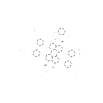 CC(C)c1cccc(C(C)C)c1N1C(=O)c2cc(Oc3ccc(SOOO)cc3)c3c4c(Oc5ccc(SOOO)cc5)cc5c6c(cc(Oc7ccc(S(=O)(=O)O)cc7)c(c7c(Oc8ccc(S(=O)(=O)O)cc8)cc(c2c37)C1=O)c64)C(=O)N(CCCO)C5=O